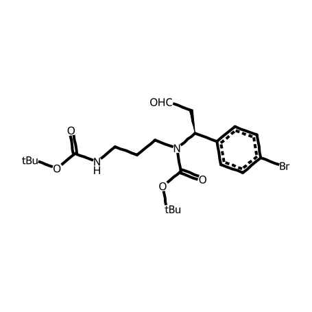 CC(C)(C)OC(=O)NCCCN(C(=O)OC(C)(C)C)[C@@H](CC=O)c1ccc(Br)cc1